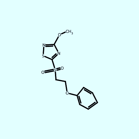 COc1nsc(S(=O)(=O)CCOc2ccccc2)n1